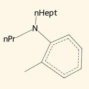 CCCCCCCN(CCC)c1ccccc1C